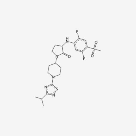 CC(C)c1nsc(N2CCC(N3CCC(Nc4cc(F)c(S(C)(=O)=O)cc4F)C3=O)CC2)n1